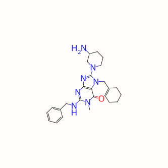 Cn1c(NCc2ccccc2)nc2nc(N3CCCC(N)C3)n(CC3=CCCCC3)c2c1=O